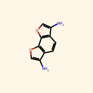 Nc1coc2c1ccc1c(N)coc12